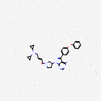 Nc1ncnc2c1c(-c1ccc(Oc3ccccc3)cc1)nn2C1CCN(C(=O)/C=C/CN(C2CC2)C2CC2)C1